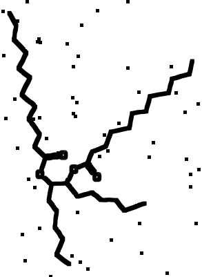 CCCCCCCCCCCC(=O)OC(CCCCCC)C(CCCCCC)OC(=O)CCCCCCCCCCC